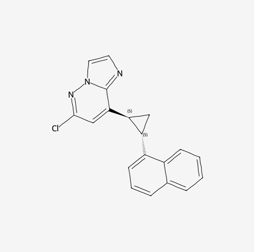 Clc1cc([C@H]2C[C@@H]2c2cccc3ccccc23)c2nccn2n1